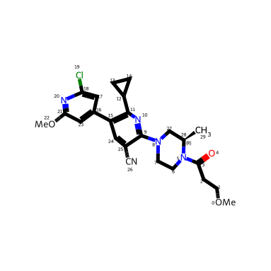 COCCC(=O)N1CCN(c2nc(C3CC3)c(-c3cc(Cl)nc(OC)c3)cc2C#N)C[C@H]1C